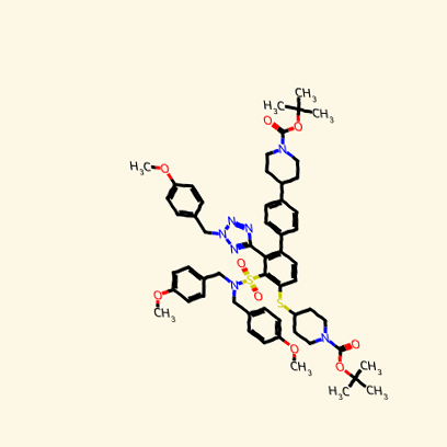 COc1ccc(CN(Cc2ccc(OC)cc2)S(=O)(=O)c2c(SC3CCN(C(=O)OC(C)(C)C)CC3)ccc(-c3ccc(C4CCN(C(=O)OC(C)(C)C)CC4)cc3)c2-c2nnn(Cc3ccc(OC)cc3)n2)cc1